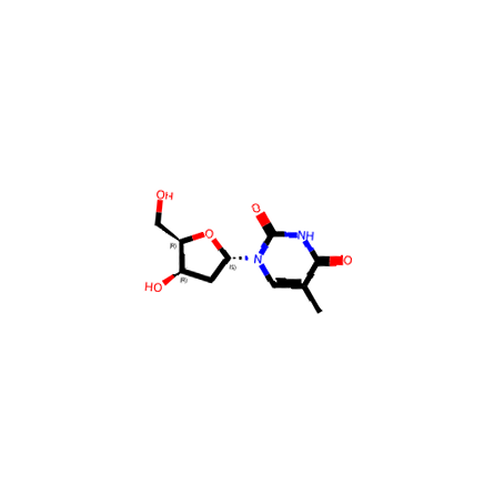 Cc1cn([C@@H]2C[C@@H](O)[C@@H](CO)O2)c(=O)[nH]c1=O